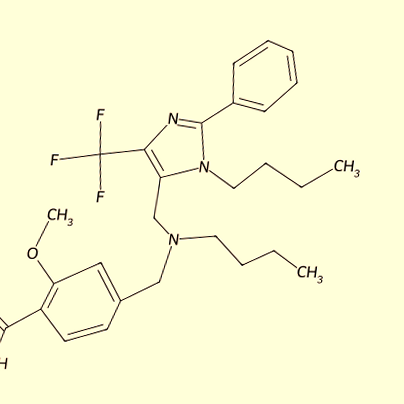 CCCCN(Cc1ccc(C(=O)O)c(OC)c1)Cc1c(C(F)(F)F)nc(-c2ccccc2)n1CCCC